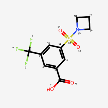 O=C(O)c1cc(C(F)(F)F)cc(S(=O)(=O)N2CCC2)c1